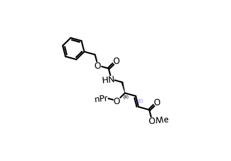 CCCO[C@H](/C=C/C(=O)OC)CNC(=O)OCc1ccccc1